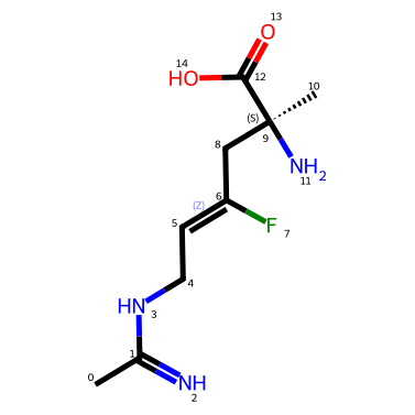 CC(=N)NC/C=C(\F)C[C@](C)(N)C(=O)O